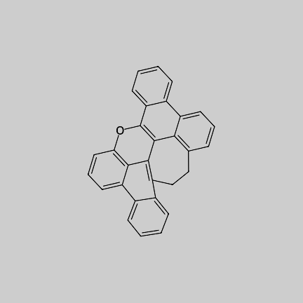 c1ccc2c(c1)c1c3c4c(cccc42)CCc2c-3c3c(cccc3c3ccccc23)O1